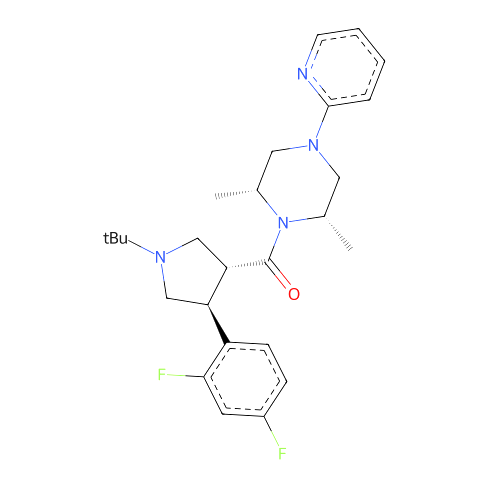 C[C@@H]1CN(c2ccccn2)C[C@H](C)N1C(=O)[C@H]1CN(C(C)(C)C)C[C@@H]1c1ccc(F)cc1F